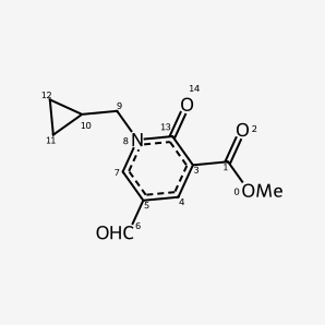 COC(=O)c1cc(C=O)cn(CC2CC2)c1=O